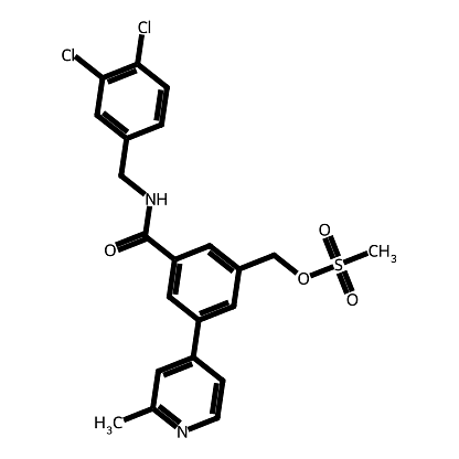 Cc1cc(-c2cc(COS(C)(=O)=O)cc(C(=O)NCc3ccc(Cl)c(Cl)c3)c2)ccn1